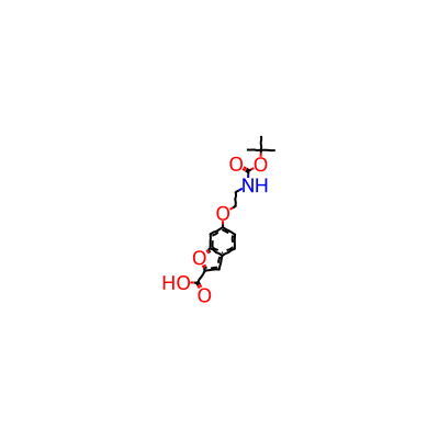 CC(C)(C)OC(=O)NCCOc1ccc2cc(C(=O)O)oc2c1